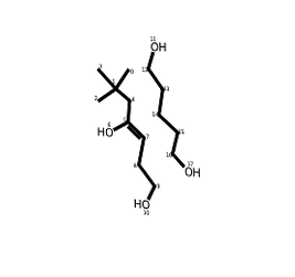 CC(C)(C)CC(O)=CCCO.OCCCCCO